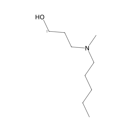 CCCCCN(C)CC[C]O